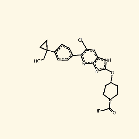 CC(C)C(=O)N1CCC(Oc2nc3nc(-c4ccc(C5(CO)CC5)cc4)c(Cl)cc3[nH]2)CC1